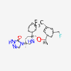 C[C@@H](OC[C@@]1(c2ccccc2)CC[C@](C)(n2cn[nH]c2=O)CN1)c1cc(CF)cc(C(F)(F)F)c1